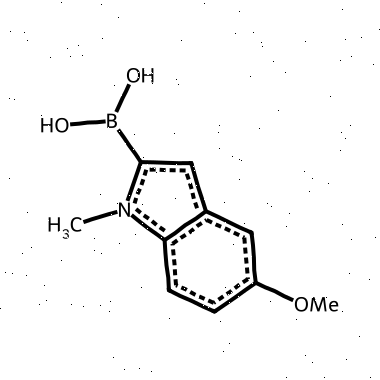 COc1ccc2c(c1)cc(B(O)O)n2C